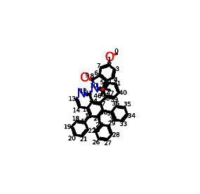 COc1ccc2c(c1)C(=O)N(c1nccc3c(-c4ccccc4)c(-c4ccccc4)c(-c4ccccc4)c(-c4ccccc4)c13)C2(C)C